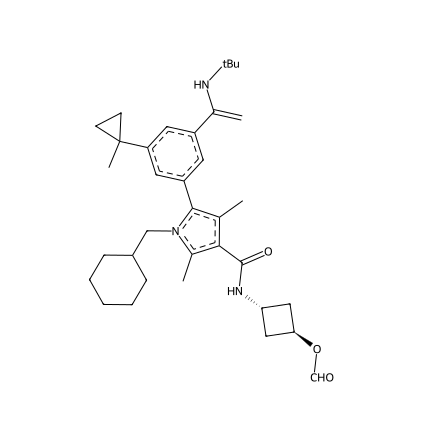 C=C(NC(C)(C)C)c1cc(-c2c(C)c(C(=O)N[C@H]3C[C@H](OC=O)C3)c(C)n2CC2CCCCC2)cc(C2(C)CC2)c1